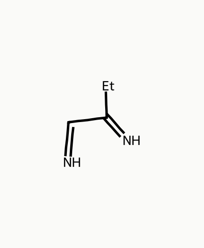 CCC(=N)C=N